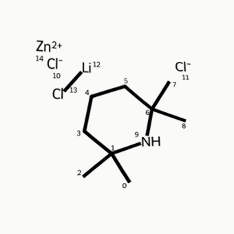 CC1(C)CCCC(C)(C)N1.[Cl-].[Cl-].[Li][Cl].[Zn+2]